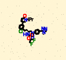 CC(C)n1cc(-c2ccc(Cl)c(CC[C@@H](CNc3ccc(-c4nncn4C)cc3)NC(=O)OC(CF)CF)c2)ccc1=O